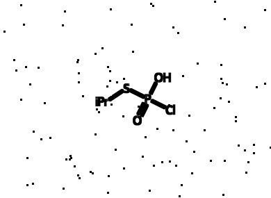 CC(C)SP(=O)(O)Cl